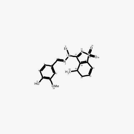 CCN(/N=C/c1ccc(O)c(OC)c1)C1=NS(=O)(=O)C2=C1C(C)CC=C2